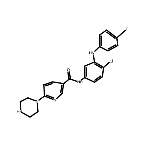 O=C(Nc1ccc(Cl)c(Nc2ccc(F)cc2)c1)c1ccc(N2CCNCC2)nc1